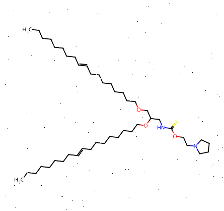 CCCCCCCCC=CCCCCCCCCOCC(CNC(=S)OCCN1CCCC1)OCCCCCCCCC=CCCCCCCCC